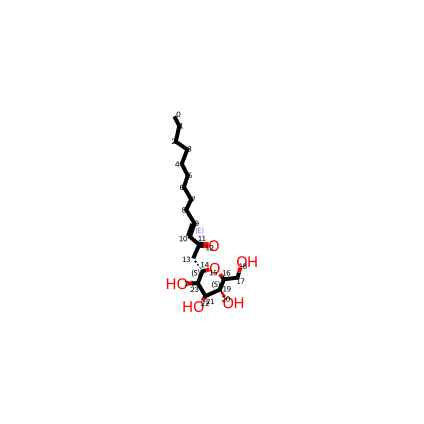 CCCCCCCCC/C=C/C(=O)C[C@@H]1OC(CO)[C@@H](O)C(O)C1O